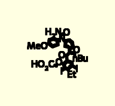 CCCCc1oc2ccc(N(C(N)=O)c3ccc(OC)cc3)cc2c1C(=O)c1cc(I)c(CC)c(I)c1OCC(=O)O